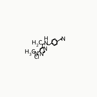 C=C(NCc1ccc(C#N)cc1)c1cc(N(C)Cl)ncn1